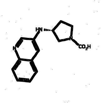 O=C(O)N1CC[C@@H](Nc2cnc3ccccc3c2)C1